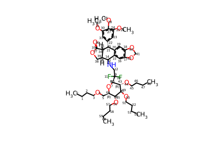 CCCCOC[C@H]1O[C@@H](C(F)(F)CN[C@@H]2c3cc4c(cc3[C@@H](c3cc(OC)c(OC)c(OC)c3)[C@H]3C(=O)OC[C@@H]32)OCO4)[C@H](OCCCC)[C@@H](OCCCC)[C@@H]1OCCCC